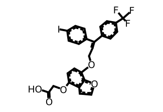 O=C(O)COc1ccc(OC/C=C(\c2ccc(I)cc2)c2ccc(C(F)(F)F)cc2)c2occc12